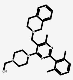 Cc1cccc(C)c1-c1nc(C)c(CN2CCc3ccccc3C2)c(N2CCN(CC#N)CC2)n1